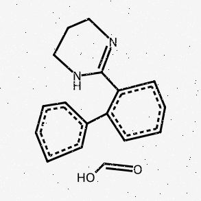 O=CO.c1ccc(-c2ccccc2C2=NCCCN2)cc1